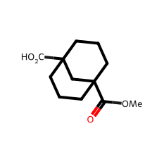 COC(=O)C12CCCC(C(=O)O)(CCC1)C2